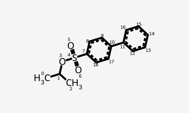 CC(C)OS(=O)(=O)c1ccc(-c2ccccc2)cc1